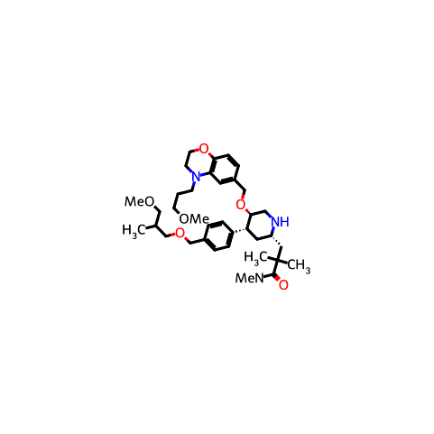 CNC(=O)C(C)(C)C[C@@H]1C[C@H](c2ccc(COCC(C)COC)cc2)[C@@H](OCc2ccc3c(c2)N(CCCOC)CCO3)CN1